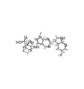 Cn1nc(N[C@H]2C3CCC(CC3)[C@@H]2C(=O)O)c2cnc(-c3c[nH]c4ncc(F)cc34)nc21